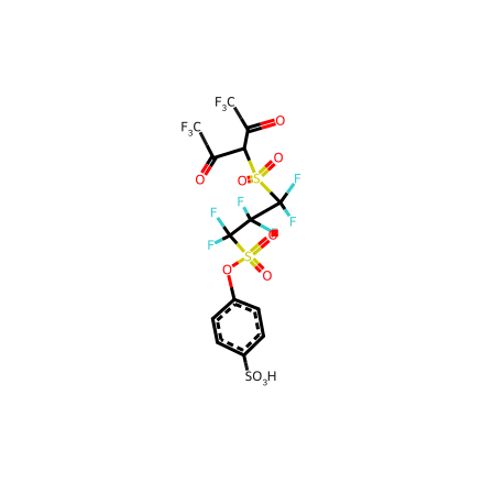 O=C(C(C(=O)C(F)(F)F)S(=O)(=O)C(F)(F)C(F)(F)C(F)(F)S(=O)(=O)Oc1ccc(S(=O)(=O)O)cc1)C(F)(F)F